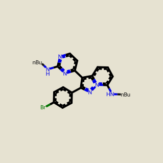 CCCCNc1nccc(-c2c(-c3ccc(Br)cc3)nn3c(NCCCC)cccc23)n1